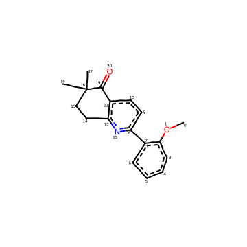 COc1ccccc1-c1ccc2c(n1)CCC(C)(C)C2=O